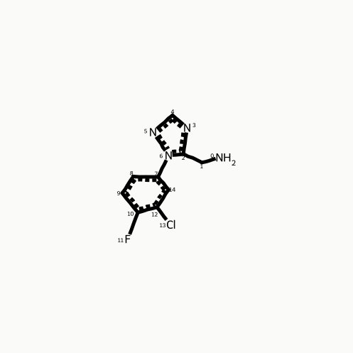 NCc1ncnn1-c1ccc(F)c(Cl)c1